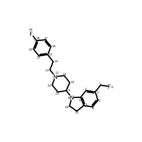 FCc1ccc2c(c1)N(C1CCN(CCc3ccc(F)cc3)CC1)CC2